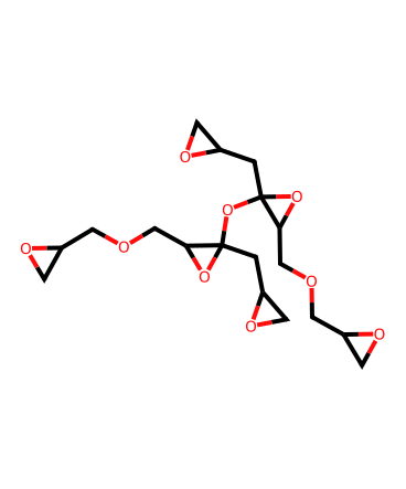 C(OCC1OC1(CC1CO1)OC1(CC2CO2)OC1COCC1CO1)C1CO1